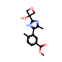 COC(=O)c1ccc(C)c(-c2[nH]c(C3(O)COC3)nc2C)c1